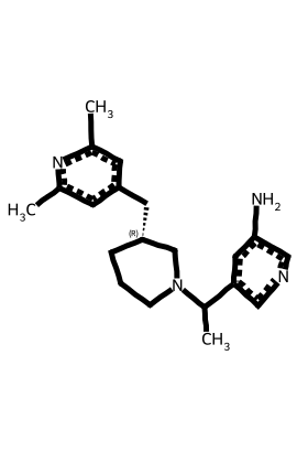 Cc1cc(C[C@H]2CCCN(C(C)c3cncc(N)c3)C2)cc(C)n1